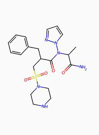 CC(C(N)=O)N(C(=O)C(Cc1ccccc1)CS(=O)(=O)N1CCNCC1)n1cccn1